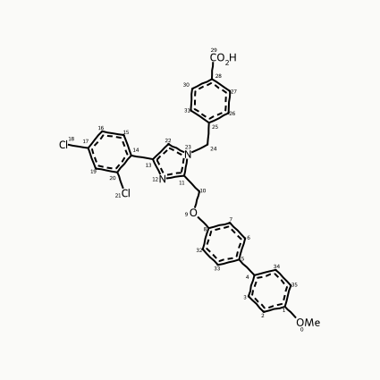 COc1ccc(-c2ccc(OCc3nc(-c4ccc(Cl)cc4Cl)cn3Cc3ccc(C(=O)O)cc3)cc2)cc1